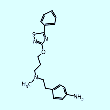 CN(CCCOc1nsc(-c2ccccc2)n1)CCc1ccc(N)cc1